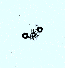 Cl.Fc1cccc2c1O[C@@H]1CN(Cc3ccccc3)C[C@H]1O2